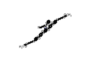 C=CC(=O)OCCCCCCOc1ccc(OC(=O)C2CCC(C(=O)Oc3ccc(OC(=O)C4CCC(C(=O)Oc5ccc(OCCCCCCOC(=O)C=C)cc5)CC4)c(/C=N/N(CCCCC#N)c4nc5ccccc5s4)c3)CC2)cc1